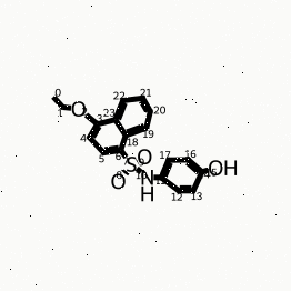 CCOc1ccc(S(=O)(=O)Nc2ccc(O)cc2)c2ccccc12